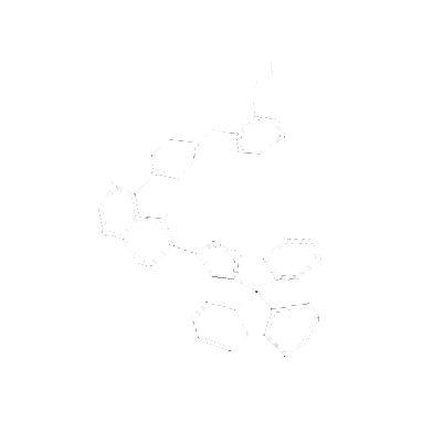 COc1ncccc1CN1CCN(c2ncnc3ccc(-c4cnn(C(c5ccccc5)(c5ccccc5)C5C=CC=CC5)c4)cc23)CC1